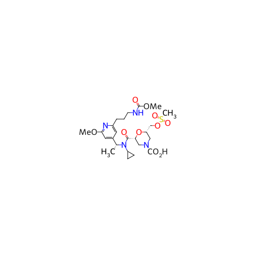 COC(=O)NCCCc1cc([C@@H](C)N(C(=O)[C@H]2CN(C(=O)O)C[C@@H](COS(C)(=O)=O)O2)C2CC2)cc(OC)n1